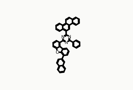 c1ccc(-c2nc(-c3cc4c5ccccc5ccc4c4ccccc34)nc(-c3cccc4oc5c(-c6ccc7ccccc7c6)cccc5c34)n2)cc1